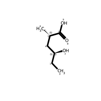 CC[C@H](O)C[C@H](C)C(=O)O